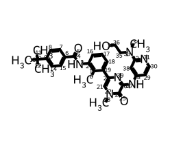 Cc1c(NC(=O)c2ccc(C(C)(C)C)cc2)cccc1-c1cn(C)c(=O)c(Nc2ccnc(N(C)CCO)c2)n1